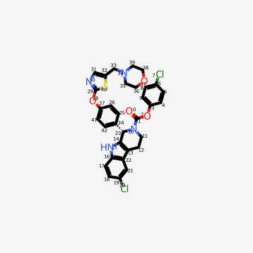 O=C(Oc1ccc(Cl)cc1)N1CCc2c([nH]c3ccc(Cl)cc23)[C@@H]1c1ccc(Oc2ncc(CN3CCOCC3)s2)cc1